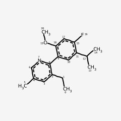 CCc1cc(C)cnc1-c1cc(C(C)C)c(F)cc1OC